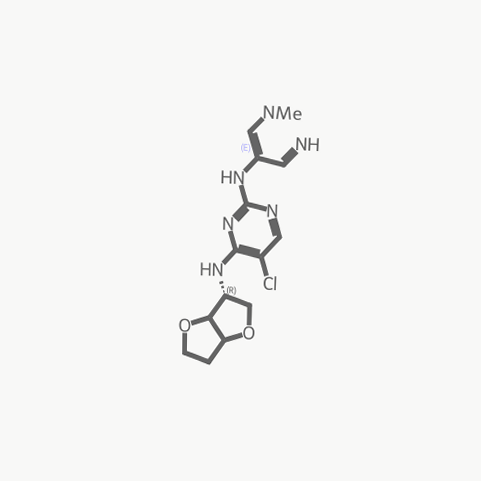 CN/C=C(\C=N)Nc1ncc(Cl)c(N[C@@H]2COC3CCOC32)n1